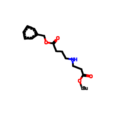 CC(C)(C)OC(=O)CCNCCCC(=O)OCc1ccccc1